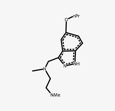 CCCOc1ccc2[nH]nc(CN(C)CCNC)c2c1